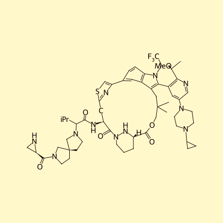 CO[C@@H](C)c1ncc(N2CCN(C3CC3)CC2)cc1-c1c2c3cc(ccc3n1CC(F)(F)F)-c1csc(n1)C[C@H](NC(=O)C(C(C)C)N1CC[C@]3(CCN(C(=O)[C@H]4CN4)C3)C1)C(=O)N1CCC[C@H](N1)C(=O)OCC(C)(C)C2